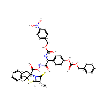 C[C@H]1C(=S)N2[C@@H]1SC(C)(C)[C@]2(Cc1ccccc1)C(=O)ONC(=O)C(NC(=O)OCc1ccc([N+](=O)[O-])cc1)c1ccc(OC(=O)OCc2ccccc2)cc1